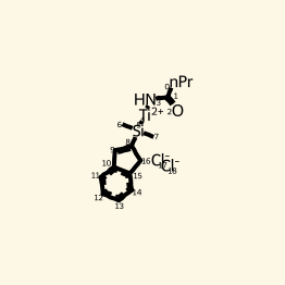 CCCC(=O)[NH][Ti+2][Si](C)(C)C1=Cc2ccccc2C1.[Cl-].[Cl-]